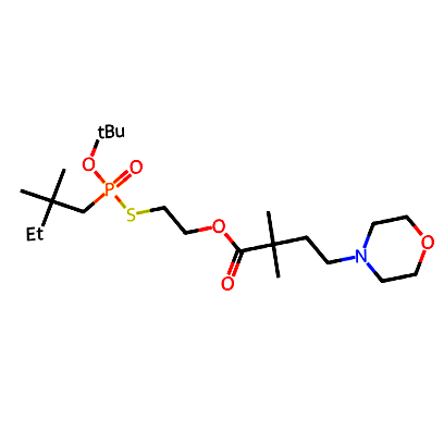 CCC(C)(C)CP(=O)(OC(C)(C)C)SCCOC(=O)C(C)(C)CCN1CCOCC1